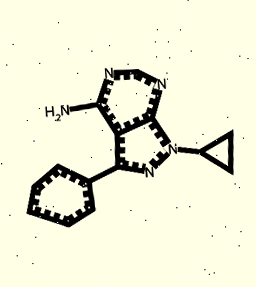 Nc1ncnc2c1c(-c1ccccc1)nn2C1CC1